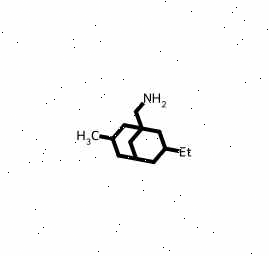 CCC1CC2CC(C)CC(CN)(C1)C2